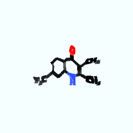 Cc1[nH]c2c(c(=O)c1C)CCC(C(F)(F)F)C2